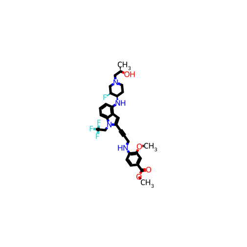 COC(=O)c1ccc(NCC#Cc2cc3c(N[C@@H]4CCN(C[C@H](C)O)C[C@@H]4F)cccc3n2CC(F)(F)F)c(OC)c1